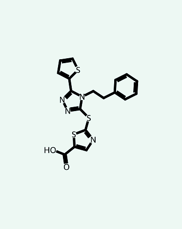 O=C(O)c1cnc(Sc2nnc(-c3cccs3)n2CCc2ccccc2)s1